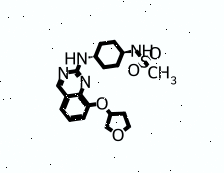 CS(=O)(=O)N[C@H]1CC[C@H](Nc2ncc3cccc(OC4CCOC4)c3n2)CC1